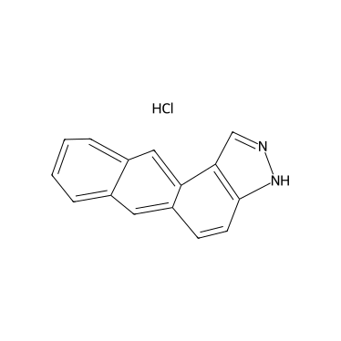 Cl.c1ccc2cc3c(ccc4[nH]ncc43)cc2c1